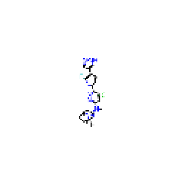 CN(c1ccc(-c2ccc(-c3cn[nH]c3)c(F)n2)nn1)[C@H]1C[C@H]2CC[C@@H](C1)N2.Cl